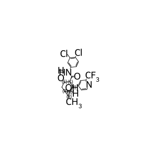 C[C@@H]1[C@H]2[C@@H](c3ccnc(C(F)(F)F)c3)[C@H](C(=O)Nc3ccc(Cl)c(Cl)c3)[C@@H](O)C[C@]21O